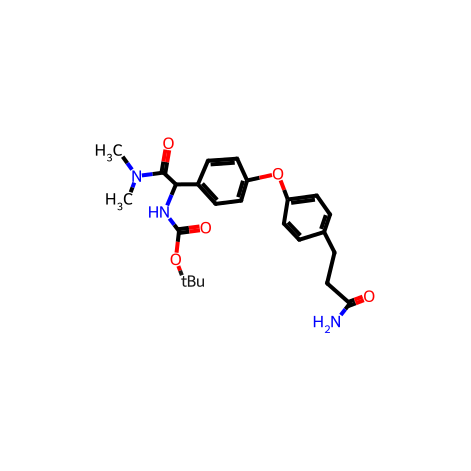 CN(C)C(=O)C(NC(=O)OC(C)(C)C)c1ccc(Oc2ccc(CCC(N)=O)cc2)cc1